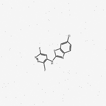 Fc1cc(Nc2nc3ccc(Cl)cc3s2)c(F)nn1